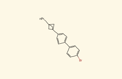 CCCC12CC(c3ccc(-c4ccc(Br)cc4)cc3)(C1)C2